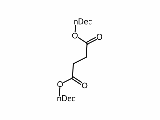 CCCCCCCCCCOC(=O)CCC(=O)OCCCCCCCCCC